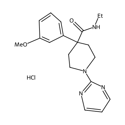 CCNC(=O)C1(c2cccc(OC)c2)CCN(c2ncccn2)CC1.Cl